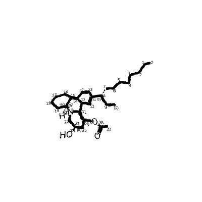 CCCCCCCC[C@H](CC)C1=CC2C(=C3CCCC[C@@H]3N3C[C@H](O)CC(OC(C)=O)=C23)C=C1